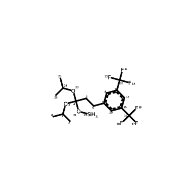 CC(C)OC(CCc1cc(C(F)(F)F)cc(C(F)(F)F)c1)(O[SiH3])OC(C)C